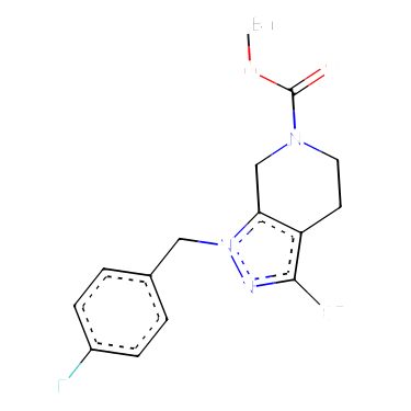 CC(C)(C)OC(=O)N1CCc2c(C(F)(F)F)nn(Cc3ccc(F)cc3)c2C1